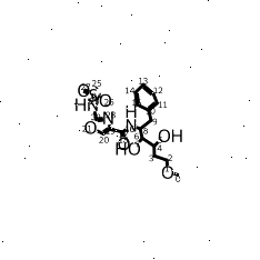 COCCC(O)C(O)C(Cc1ccccc1)NC(=O)c1coc(NS(C)(=O)=O)n1